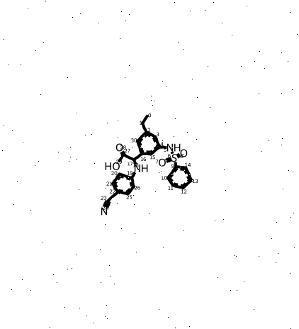 CCc1cc(NS(=O)(=O)c2ccccc2)cc(C(Nc2ccc(C#N)cc2)C(=O)O)c1